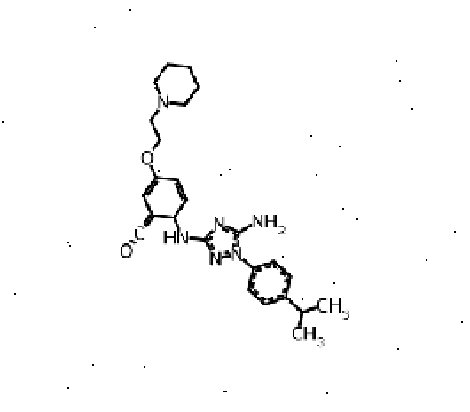 CC(C)c1ccc(-n2nc(NC3C=CC(OCCN4CCCCC4)=CC3=C=O)nc2N)cc1